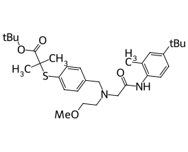 COCCN(CC(=O)Nc1ccc(C(C)(C)C)cc1C)Cc1ccc(SC(C)(C)C(=O)OC(C)(C)C)cc1